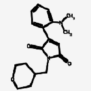 CN(C)c1ccccc1C1=CC(=O)N(CC2CCOCC2)C1=O